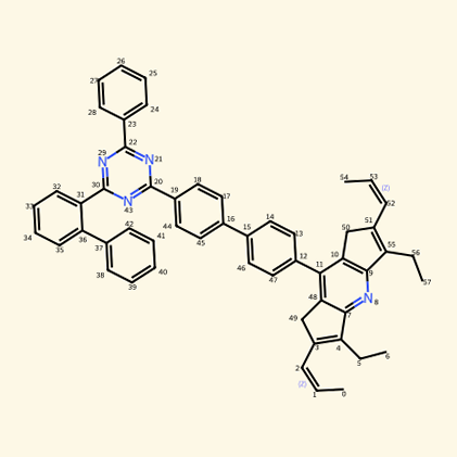 C/C=C\C1=C(CC)c2nc3c(c(-c4ccc(-c5ccc(-c6nc(-c7ccccc7)nc(-c7ccccc7-c7ccccc7)n6)cc5)cc4)c2C1)CC(/C=C\C)=C3CC